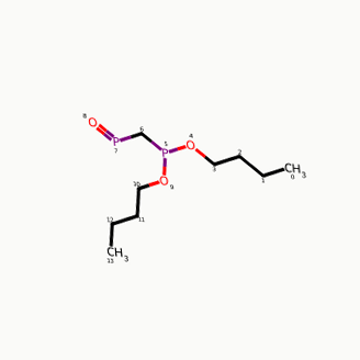 CCCCOP(CP=O)OCCCC